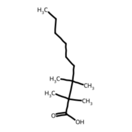 CCCCCCC(C)(C)C(C)(C)C(=O)O